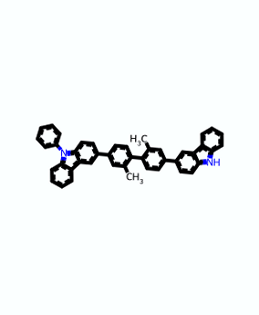 Cc1cc(-c2ccc3[nH]c4ccccc4c3c2)ccc1-c1ccc(-c2ccc3c(c2)c2ccccc2n3-c2ccccc2)cc1C